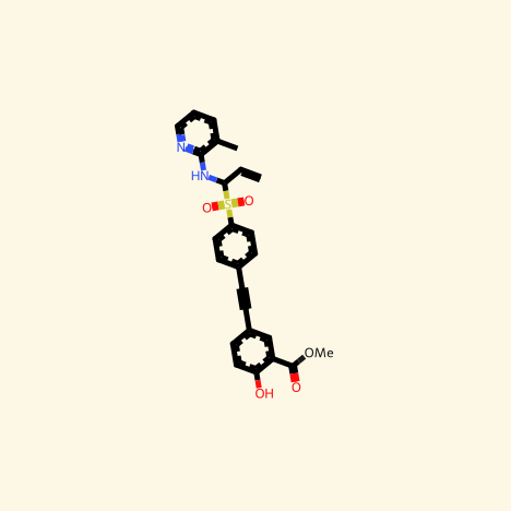 C=CC(Nc1ncccc1C)S(=O)(=O)c1ccc(C#Cc2ccc(O)c(C(=O)OC)c2)cc1